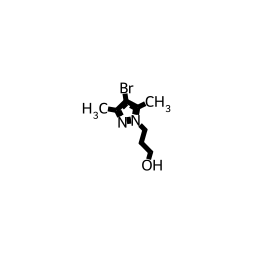 Cc1nn(CCCO)c(C)c1Br